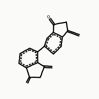 C=C1CC(=O)c2cc(-c3cccc4c3C(=C)CC4=C)ccc21